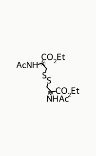 CCOC(=O)[C@H](CSSC[C@H](NC(C)=O)C(=O)OCC)NC(C)=O